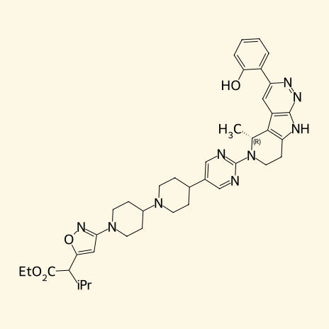 CCOC(=O)C(c1cc(N2CCC(N3CCC(c4cnc(N5CCc6[nH]c7nnc(-c8ccccc8O)cc7c6[C@H]5C)nc4)CC3)CC2)no1)C(C)C